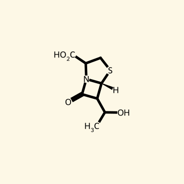 CC(O)C1C(=O)N2C(C(=O)O)CS[C@H]12